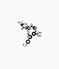 CC1(C)C[C@@H]1C(=O)N1CC2(CN(C(=O)c3cnn(Cc4ccccc4C(O)O)c3)C[C@H]2COCc2cccc(C3CCC(C(F)(F)F)CC3)n2)C1